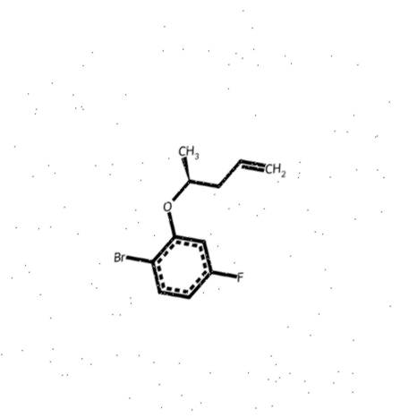 C=CC[C@H](C)Oc1cc(F)ccc1Br